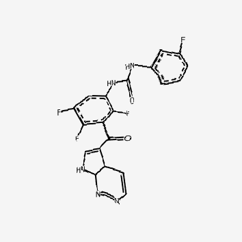 O=C(Nc1cccc(F)c1)Nc1cc(F)c(F)c(C(=O)C2=CNC3N=NC=CC23)c1F